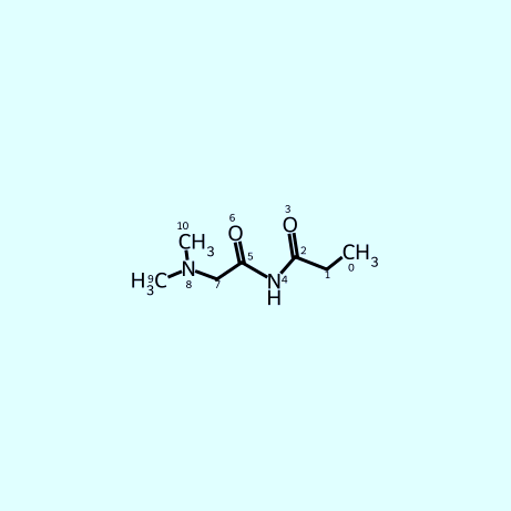 CCC(=O)NC(=O)CN(C)C